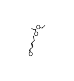 CCOC(C)OCCC=CC=O